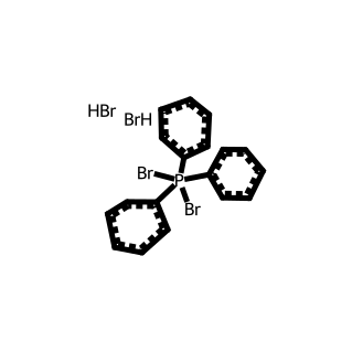 Br.Br.BrP(Br)(c1ccccc1)(c1ccccc1)c1ccccc1